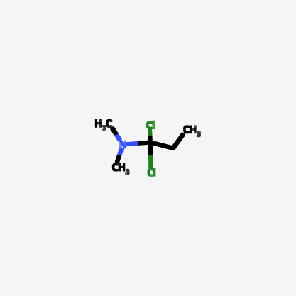 CCC(Cl)(Cl)N(C)C